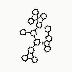 c1ccc(-c2cc(-c3cc(-c4ccc5c6ccccc6c6ccccc6c5c4)cc(-n4c5ccccc5c5ccc(-c6ccccc6)cc54)c3)nc(-c3ccc4c(c3)C3(c5ccccc5-c5ccccc53)c3ccccc3-4)c2)cc1